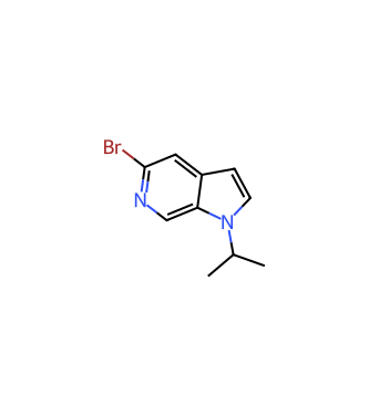 CC(C)n1ccc2cc(Br)ncc21